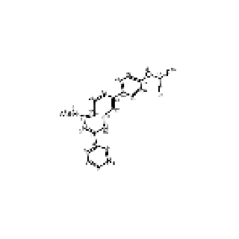 CNc1nc(-c2cccnc2)nc2cc(-c3ccc(OC(F)F)cc3)ccc12